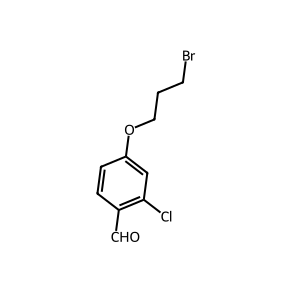 O=Cc1ccc(OCCCBr)cc1Cl